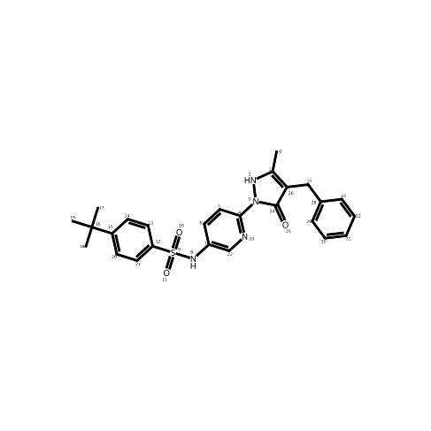 Cc1[nH]n(-c2ccc(NS(=O)(=O)c3ccc(C(C)(C)C)cc3)cn2)c(=O)c1Cc1ccccc1